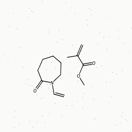 C=C(C)C(=O)OC.C=CN1CCCCCC1=O